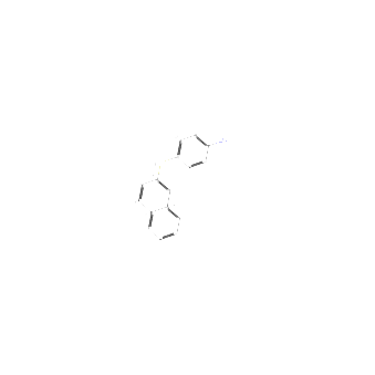 Nc1ccc(Sc2ccc3ccccc3c2)cc1